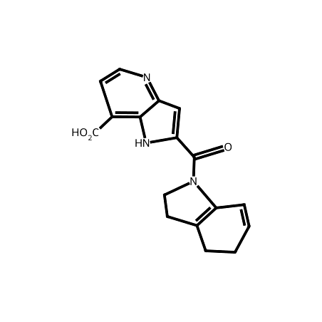 O=C(O)c1ccnc2cc(C(=O)N3CCC4=C3C=CCC4)[nH]c12